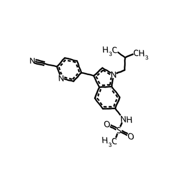 CC(C)Cn1cc(-c2ccc(C#N)nc2)c2ccc(NS(C)(=O)=O)cc21